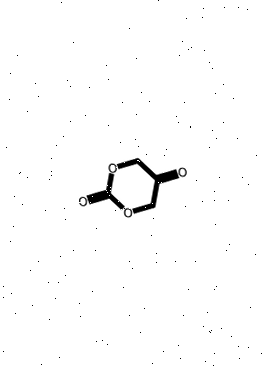 O=C1COC(=O)OC1